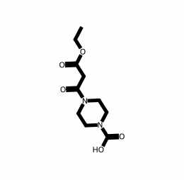 CCOC(=O)CC(=O)N1CCN(C(=O)O)CC1